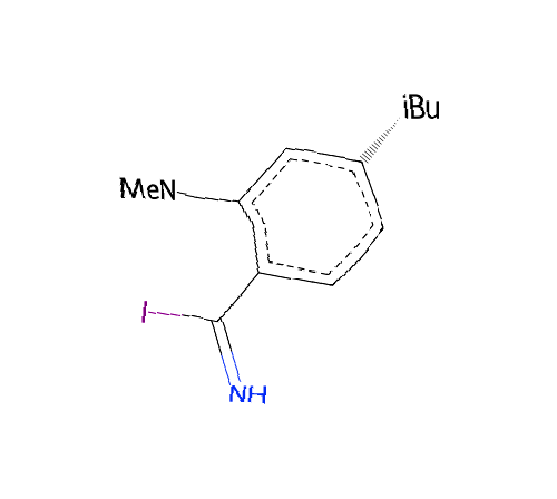 CC[C@@H](C)c1ccc(C(=N)I)c(NC)c1